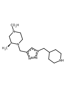 C[C@H]1CN(C(=O)O)CCN1Cc1cn(CC2CCNCC2)nn1